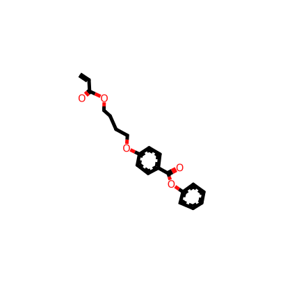 C=CC(=O)OCCCCOc1ccc(C(=O)Oc2ccccc2)cc1